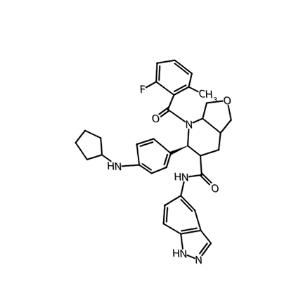 Cc1cccc(F)c1C(=O)N1C2COCC2CC(C(=O)Nc2ccc3[nH]ncc3c2)[C@H]1c1ccc(NC2CCCC2)cc1